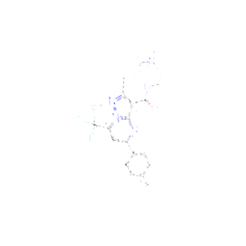 Cc1nn2c(C(F)(F)F)cc(-c3ccc(Cl)cc3)nc2c1C(=O)N1CCN(C)CC1